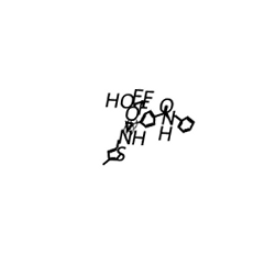 Cc1csc(CN[C@@H]2C[C@H]2c2ccc(C(=O)NCc3ccccc3)cc2)c1.O=C(O)C(F)(F)F